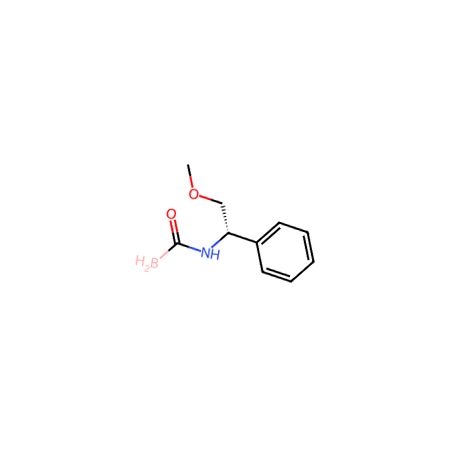 BC(=O)N[C@H](COC)c1ccccc1